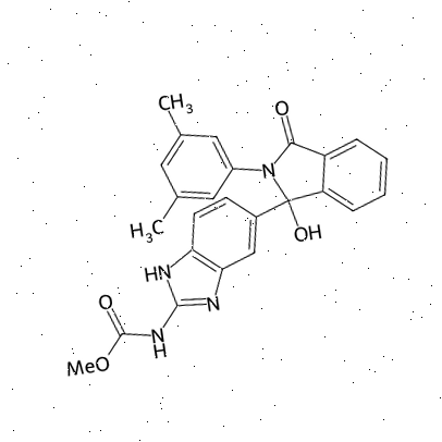 COC(=O)Nc1nc2cc(C3(O)c4ccccc4C(=O)N3c3cc(C)cc(C)c3)ccc2[nH]1